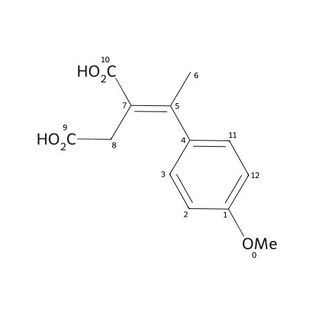 COc1ccc(C(C)=C(CC(=O)O)C(=O)O)cc1